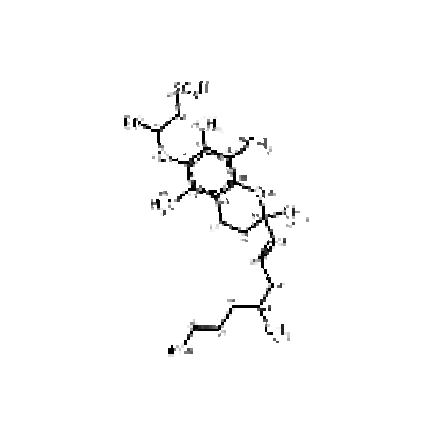 CCC(CS(=O)(=O)O)Oc1c(C)c(C)c2c(c1C)CCC(C)(C=CCC(C)CCCC(C)C)O2